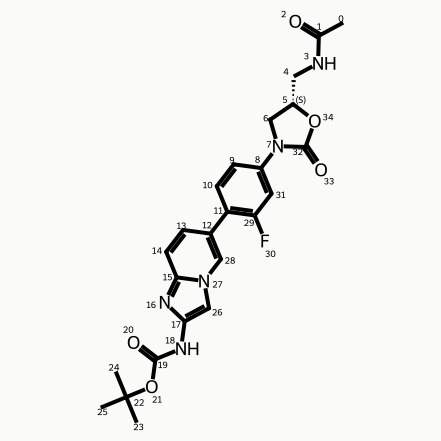 CC(=O)NC[C@H]1CN(c2ccc(-c3ccc4nc(NC(=O)OC(C)(C)C)cn4c3)c(F)c2)C(=O)O1